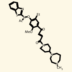 CCc1cc(C(=O)C=CC(=O)N2CCC(N3CCCN(C)CC3)CC2)c(OC)cc1ON(C(C)=O)c1nc2ccccc2s1